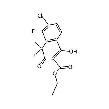 CCOC(=O)C1=C(O)c2ccc(Cl)c(F)c2C(C)(C)C1=O